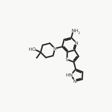 CC1(O)CCN(c2cc(N)nc3cc(-c4ccn[nH]4)sc23)CC1